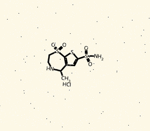 CC1NCCS(=O)(=O)c2sc(S(N)(=O)=O)cc21.Cl